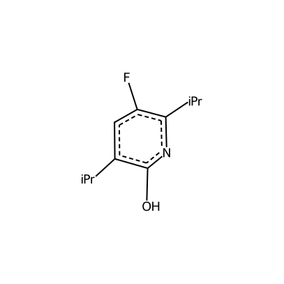 CC(C)c1cc(F)c(C(C)C)nc1O